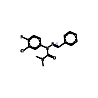 CN(C)C(=O)N(/N=C/c1ccccc1)c1ccc(F)c(Cl)c1